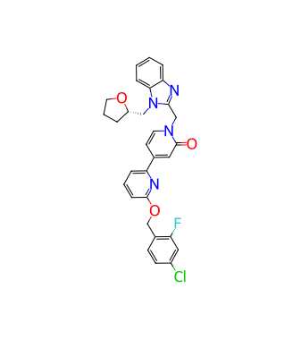 O=c1cc(-c2cccc(OCc3ccc(Cl)cc3F)n2)ccn1Cc1nc2ccccc2n1C[C@@H]1CCCO1